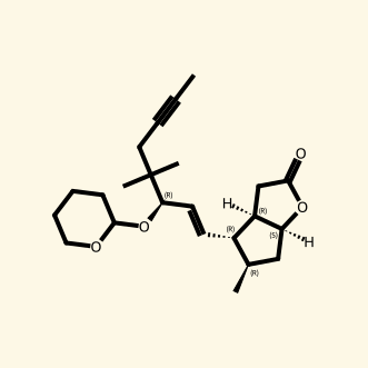 CC#CCC(C)(C)[C@@H](C=C[C@@H]1[C@H]2CC(=O)O[C@H]2C[C@H]1C)OC1CCCCO1